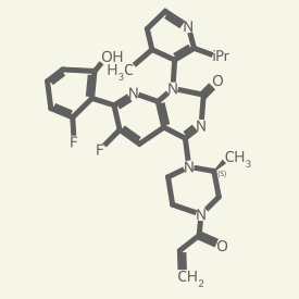 C=CC(=O)N1CCN(c2nc(=O)n(C3=C(C(C)C)N=CCC3C)c3nc(-c4c(O)cccc4F)c(F)cc23)[C@@H](C)C1